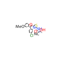 COc1ccc2oc(-c3csc(NC(=O)/C(C#N)=C(/C)O)n3)c(-c3ccc(Cl)cc3)c2c1